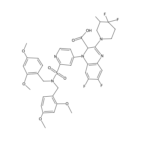 COc1ccc(CN(Cc2ccc(OC)cc2OC)S(=O)(=O)c2cc(N3c4cc(F)c(F)cc4N=C(N4CCC(F)(F)C(C)C4)C3C(=O)O)ccn2)c(OC)c1